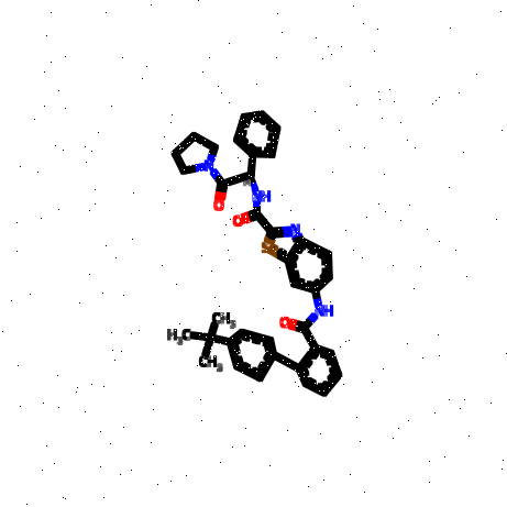 CC(C)(C)c1ccc(-c2ccccc2C(=O)Nc2ccc3nc(C(=O)N[C@@H](C(=O)N4CCCC4)c4ccccc4)sc3c2)cc1